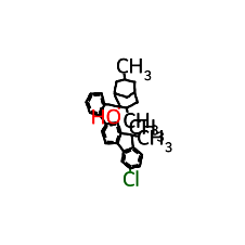 CC1CC2CC(C)C(O)(c3ccccc3-c3ccc4c(c3)C(C)(C)c3ccc(Cl)cc3-4)C(C1)C2